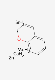 C1=Cc2ccccc2OC1.[CaH2].[MgH2].[SrH2].[Zn]